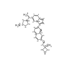 C[C@@H](c1ccc2nnc(-c3ccc4ccc(OCC5(C)COC5)cc4n3)n2c1)N1CC[C@H](N)C1